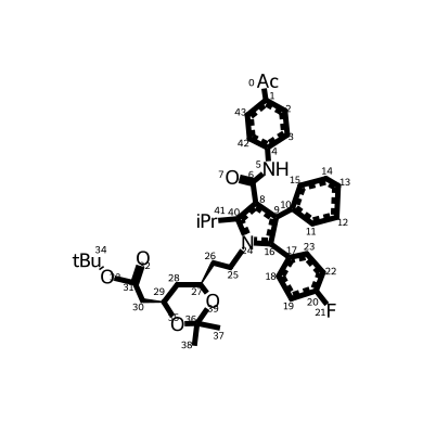 CC(=O)c1ccc(NC(=O)c2c(-c3ccccc3)c(-c3ccc(F)cc3)n(CC[C@@H]3C[C@H](CC(=O)OC(C)(C)C)OC(C)(C)O3)c2C(C)C)cc1